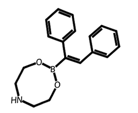 C(=C(B1OCCNCCO1)c1ccccc1)c1ccccc1